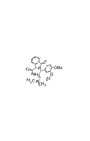 CCOc1cc(C(CCN(C)C)N2C(=O)c3[c]cccc3C2C(N)=O)ccc1OC